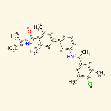 Cc1cc(C(C)Nc2cccc(-c3cc(C)c(C(=O)N[C@@H](C)C(=O)O)c(C)c3)c2)cc(C)c1Cl